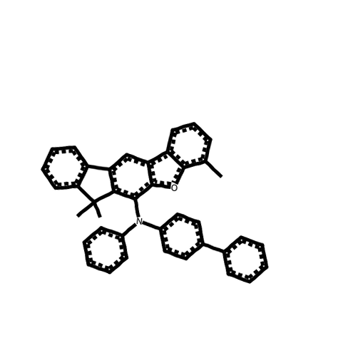 Cc1cccc2c1oc1c(N(c3ccccc3)c3ccc(-c4ccccc4)cc3)c3c(cc12)-c1ccccc1C3(C)C